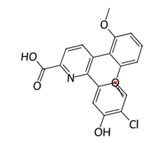 COc1cccc(OC)c1-c1ccc(C(=O)O)nc1-c1ccc(Cl)c(O)c1